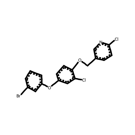 Clc1ccc(COc2ccc(Oc3cccc(Br)c3)cc2Cl)cn1